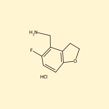 Cl.NCc1c(F)ccc2c1CCO2